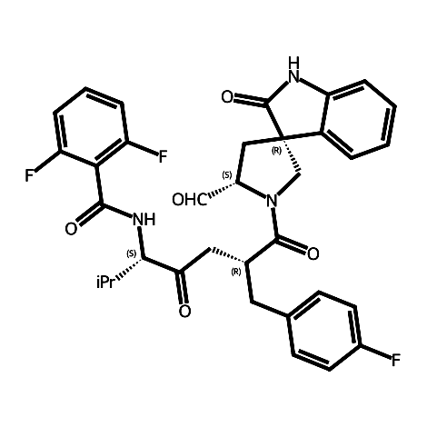 CC(C)[C@H](NC(=O)c1c(F)cccc1F)C(=O)C[C@@H](Cc1ccc(F)cc1)C(=O)N1C[C@]2(C[C@H]1C=O)C(=O)Nc1ccccc12